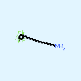 NCCCCCCCCCCCCCCCCCCCCc1c(F)c(F)c(F)c(F)c1F